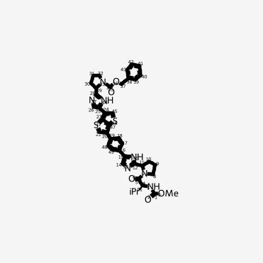 COC(=O)N[C@H](C(=O)N1CCCC1c1ncc(-c2ccc(-c3csc4c(-c5cnc(C6CCCN6C(=O)OCc6ccccc6)[nH]5)csc34)cc2)[nH]1)C(C)C